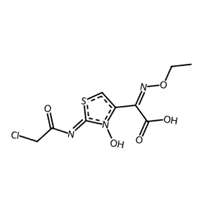 CCON=C(C(=O)O)c1csc(=NC(=O)CCl)n1O